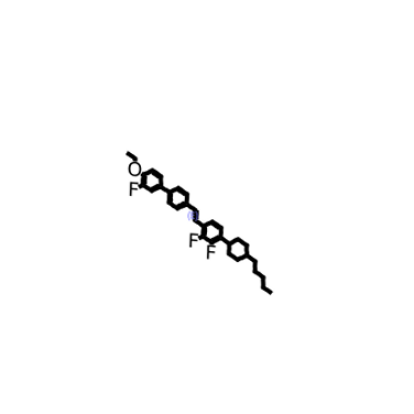 CCCCCC1CCC(c2ccc(/C=C/c3ccc(-c4ccc(OCC)c(F)c4)cc3)c(F)c2F)CC1